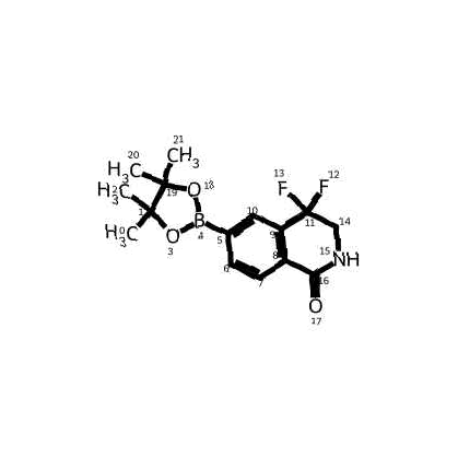 CC1(C)OB(c2ccc3c(c2)C(F)(F)CNC3=O)OC1(C)C